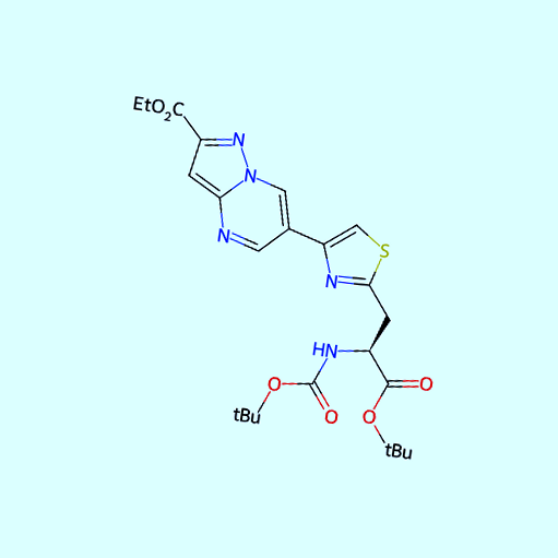 CCOC(=O)c1cc2ncc(-c3csc(C[C@H](NC(=O)OC(C)(C)C)C(=O)OC(C)(C)C)n3)cn2n1